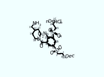 CCCCCCCCCCCCS(=O)(=O)c1cc(C(=O)N2CCC(CN)CC2)c([N+](=O)[O-])c(S(=O)(=O)CCCCCCCCCCCC)c1.Cl